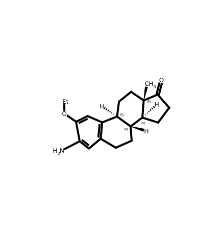 CCOc1cc2c(cc1N)CC[C@@H]1[C@@H]2CC[C@]2(C)C(=O)CC[C@@H]12